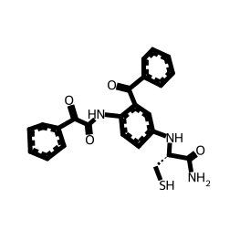 NC(=O)[C@H](CS)Nc1ccc(NC(=O)C(=O)c2ccccc2)c(C(=O)c2ccccc2)c1